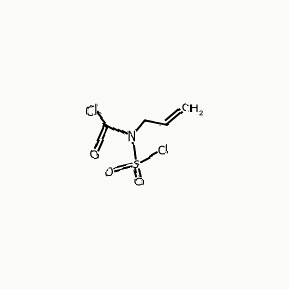 C=CCN(C(=O)Cl)S(=O)(=O)Cl